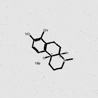 Br.CN1CCC[C@@H]2c3ccc(O)c(O)c3CC[C@@H]21